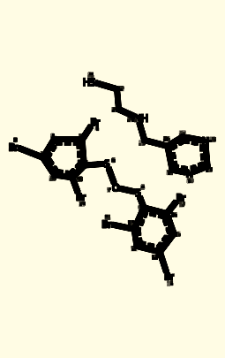 Brc1cc(Br)c(SOSc2c(Br)cc(Br)cc2Br)c(Br)c1.SCCNCc1cncnc1